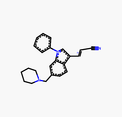 N#C/C=C/c1cn(-c2ccccc2)c2cc(CN3CCCCC3)ccc12